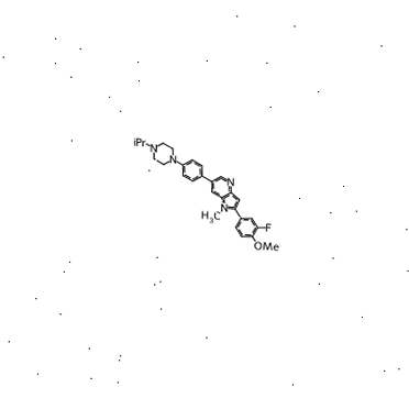 COc1ccc(-c2cc3ncc(-c4ccc(N5CCN(C(C)C)CC5)cc4)cc3n2C)cc1F